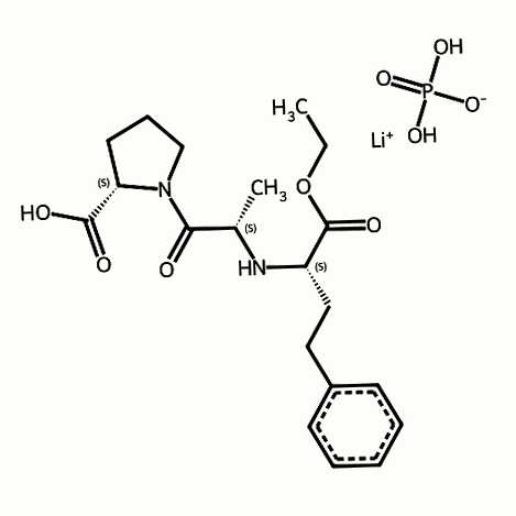 CCOC(=O)[C@H](CCc1ccccc1)N[C@@H](C)C(=O)N1CCC[C@H]1C(=O)O.O=P([O-])(O)O.[Li+]